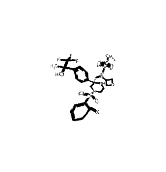 CC(O)(c1ccc([C@]2(CN(C3COC3)S(C)(=O)=O)CN(S(=O)(=O)C3=CC=CCC3=S)CCN2)cc1)C(F)(F)F